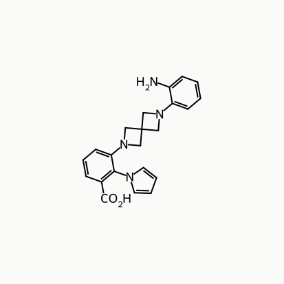 Nc1ccccc1N1CC2(C1)CN(c1cccc(C(=O)O)c1-n1cccc1)C2